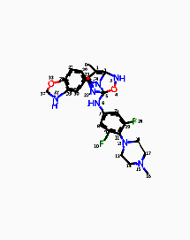 CC1=C2NOC(Nc3cc(F)c(N4CCN(C)CC4)c(F)c3)(N=C1)N2c1ccc2c(c1)NCO2